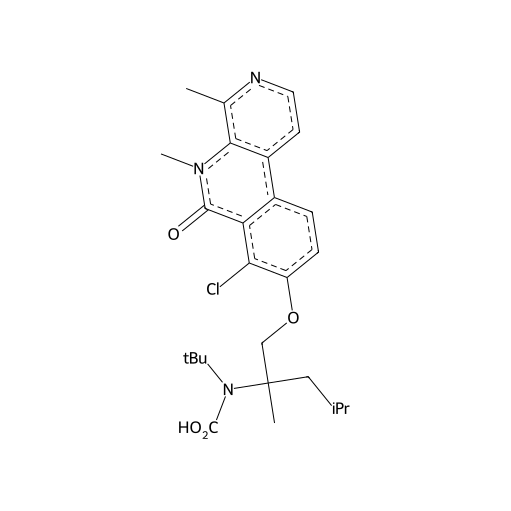 Cc1nccc2c3ccc(OCC(C)(CC(C)C)N(C(=O)O)C(C)(C)C)c(Cl)c3c(=O)n(C)c12